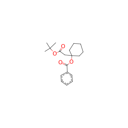 CC(C)(C)OC(=O)CC1(OC(=O)c2ccccc2)CCCCC1